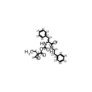 CC[C@]1(C(=O)OC(=O)NC(Cc2ccccc2)C(=O)NCCc2ccccc2)CO1